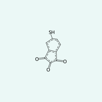 O=c1c(=O)c2ccc(S)cc2c1=O